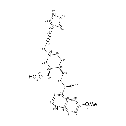 COc1ccc2nccc([C@H](F)CC[C@@H]3CCN(CC#Cc4cncs4)C[C@@H]3CC(=O)O)c2c1